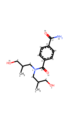 CC(CO)CN(CC(C)CO)C(=O)c1ccc(C(N)=O)cc1